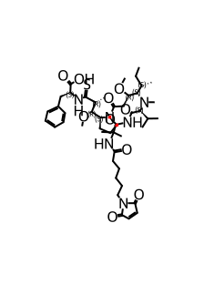 CC[C@H](C)[C@@H]([C@@H](CC(=O)N1CCC[C@H]1[C@H](OC)[C@@H](C)C(=S)N[C@@H](Cc1ccccc1)C(=O)O)OC)N(C)[C@H](C(=O)NC(=O)C(C)(C)NC(=O)CCCCCN1C(=O)C=CC1=O)C(C)C